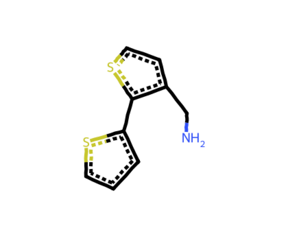 NCc1ccsc1-c1cccs1